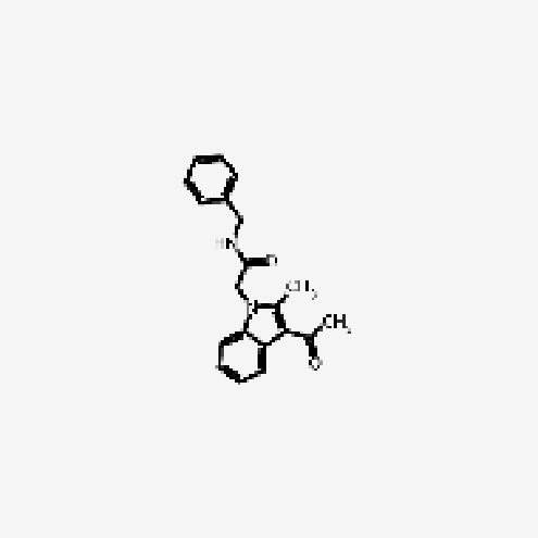 CC(=O)c1c(C)n(CC(=O)NCc2ccccc2)c2ccccc12